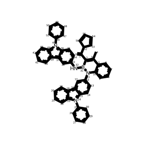 C=C(C1=C(C)c2ccccc2N(c2ccc3c(c2)c2ccccc2n3-c2ccccc2)B1Nc1ccc2c(c1)c1ccccc1n2-c1ccccc1)C1C=CC=C1